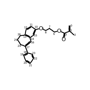 C=C(C)C(=O)OCCCOc1ccc2c(c1)C=C(c1ccccc1)CCC2